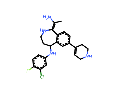 C/C(N)=C1/NCCC(Nc2ccc(F)c(Cl)c2)c2cc(C3=CCNCC3)ccc21